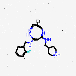 CCc1cn[nH]c(NCc2ccccc2F)cc(NCC2CCNCC2)nc1